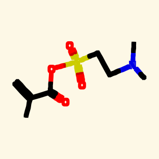 C=C(C)C(=O)OS(=O)(=O)CCN(C)C